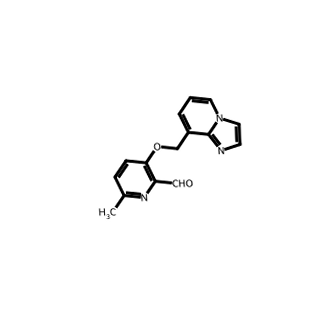 Cc1ccc(OCc2cccn3ccnc23)c(C=O)n1